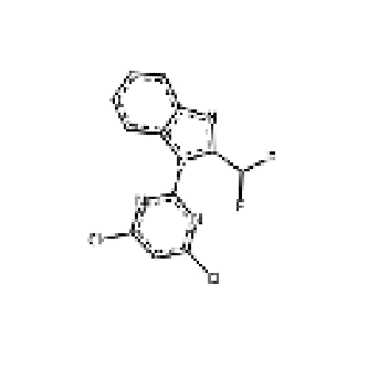 FC(F)c1nc2ccccc2n1-c1nc(Cl)cc(Cl)n1